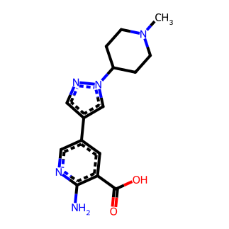 CN1CCC(n2cc(-c3cnc(N)c(C(=O)O)c3)cn2)CC1